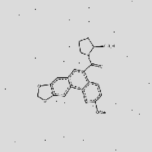 COc1ccc2c(C(=O)N3CCC[C@H]3C(=O)O)cc3cc4c(cc3c2c1)OCO4